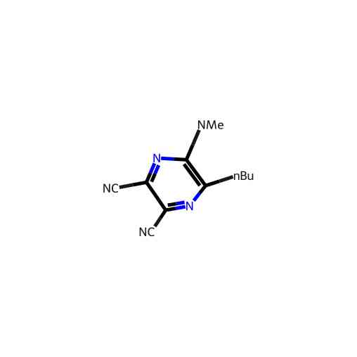 CCCCc1nc(C#N)c(C#N)nc1NC